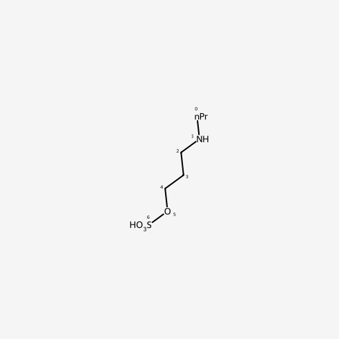 CCCNCCCOS(=O)(=O)O